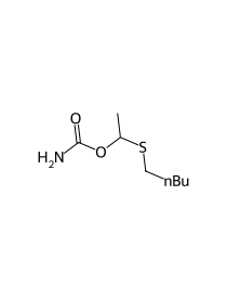 CCCCCSC(C)OC(N)=O